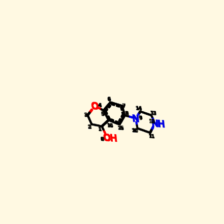 OC1CCOc2ccc(N3CCNCC3)cc21